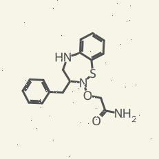 NC(=O)CON1Sc2ccccc2NCC1Cc1ccccc1